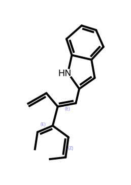 C=CC(=C\c1cc2ccccc2[nH]1)/C(/C=C\C)=C/C